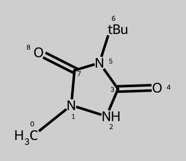 Cn1[nH]c(=O)n(C(C)(C)C)c1=O